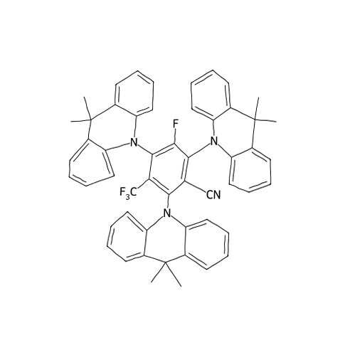 CC1(C)c2ccccc2N(c2c(F)c(N3c4ccccc4C(C)(C)c4ccccc43)c(C(F)(F)F)c(N3c4ccccc4C(C)(C)c4ccccc43)c2C#N)c2ccccc21